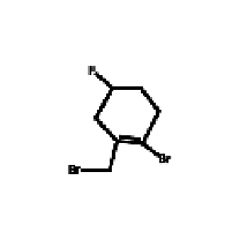 FC1CCC(Br)=C(CBr)C1